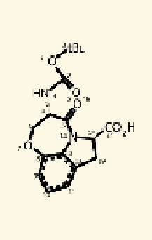 CC(C)(C)OC(=O)N[C@H]1COc2cccc3c2N(C1=O)[C@@H](C(=O)O)C3